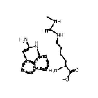 CNC(=N)NCCCC[C@H](N)C(=O)O.NC1=Cc2cccc3cccc(c23)N1